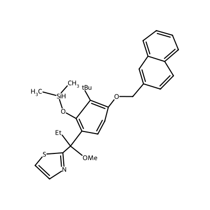 CCC(OC)(c1nccs1)c1ccc(OCc2ccc3ccccc3c2)c(C(C)(C)C)c1O[SiH](C)C